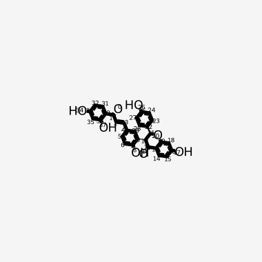 O=C(/C=C/c1ccc(O)c([C@H]2C(=O)c3ccc(O)cc3O[C@@H]2c2ccc(O)cc2)c1)c1ccc(O)cc1O